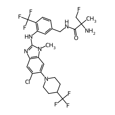 Cn1c(Nc2cc(CNC(=O)C(C)(N)CF)ccc2C(F)(F)F)nc2cc(Cl)c(N3CCC(C(F)(F)F)CC3)cc21